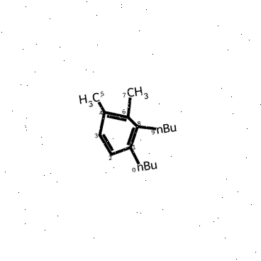 CCCCc1ccc(C)c(C)c1CCCC